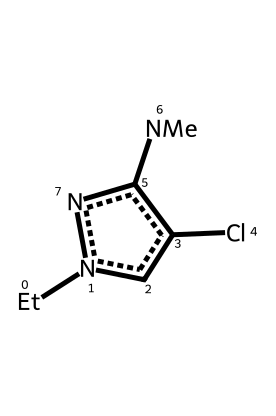 CCn1cc(Cl)c(NC)n1